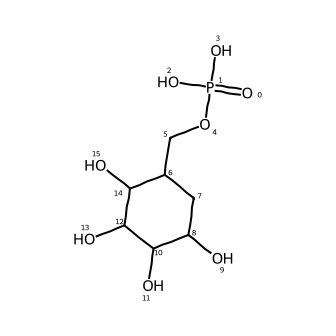 O=P(O)(O)OCC1CC(O)C(O)C(O)C1O